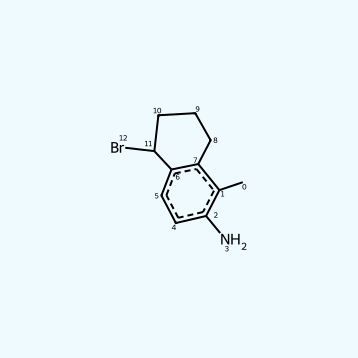 Cc1c(N)ccc2c1CCCC2Br